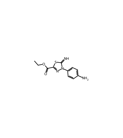 CCOC(=O)c1nn(-c2ccc(N)cc2)c(=N)s1